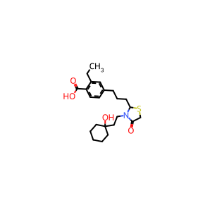 CCc1cc(CCCC2SCC(=O)N2CCC2(O)CCCCC2)ccc1C(=O)O